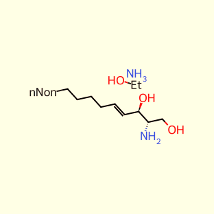 CCCCCCCCCCCCC/C=C/[C@@H](O)[C@@H](N)CO.CCO.N